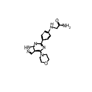 NC(=O)CNc1ccc(-c2nc(N3CCOCC3)c3cn[nH]c3n2)cc1